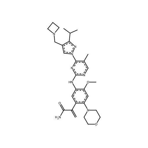 C=C(C(N)=O)c1cc(Nc2ncc(C)c(-n3cc(CN4CCC4)c(C(C)C)n3)n2)c(OC)cc1N1CCOCC1